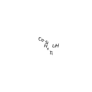 [Co].[LiH].[SiH4].[Ti]